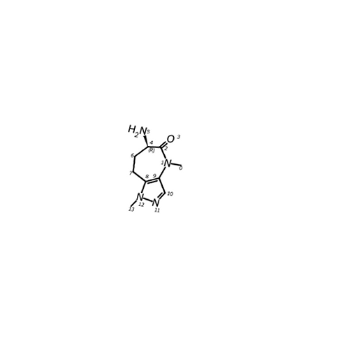 CN1C(=O)[C@H](N)CCc2c1cnn2C